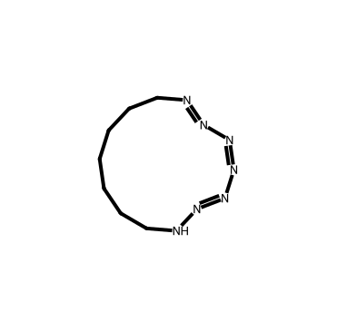 C1CCC/N=N/N=N\N=N\NCCC1